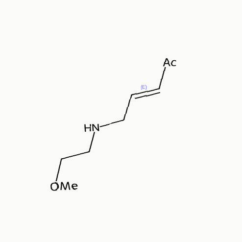 COCCNC/C=C/C(C)=O